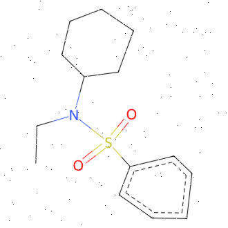 CCN(C1CCCCC1)S(=O)(=O)c1ccccc1